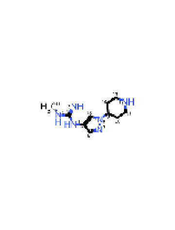 CNC(=N)Nc1cnn(C2CCNCC2)c1